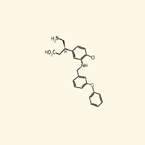 NC[C@H](CC(=O)O)c1ccc(Cl)c(NCc2cccc(Oc3ccccc3)c2)c1